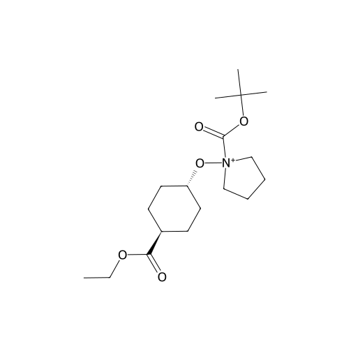 CCOC(=O)[C@H]1CC[C@H](O[N+]2(C(=O)OC(C)(C)C)CCCC2)CC1